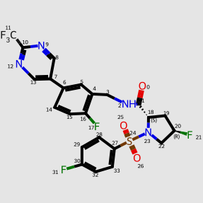 O=C(NCc1cc(-c2cnc(C(F)(F)F)nc2)ccc1F)[C@@H]1C[C@@H](F)CN1S(=O)(=O)c1ccc(F)cc1